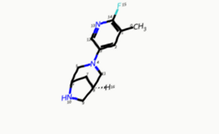 Cc1cc(N2CC3C[C@H](CN3)C2)cnc1F